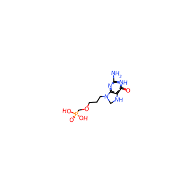 Nc1nc2c(c(=O)[nH]1)NCN2CCCOCP(=O)(O)O